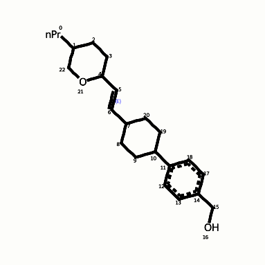 CCCC1CCC(/C=C/C2CCC(c3ccc(CO)cc3)CC2)OC1